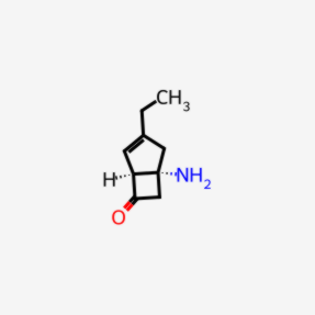 CCC1=C[C@@H]2C(=O)C[C@]2(N)C1